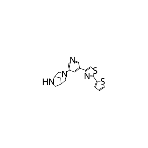 c1csc(-c2nc(-c3cncc(N4CC5CNC(C5)C4)c3)cs2)c1